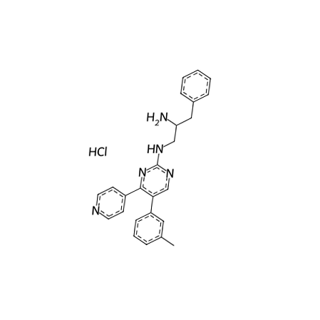 Cc1cccc(-c2cnc(NCC(N)Cc3ccccc3)nc2-c2ccncc2)c1.Cl